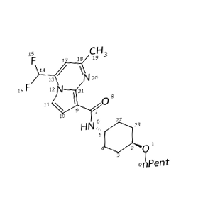 CCCCCO[C@H]1CC[C@H](NC(=O)c2ccn3c(C(F)F)cc(C)nc23)CC1